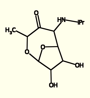 CC(C)NC1C(=O)C(C)OC2OC1C(O)C2O